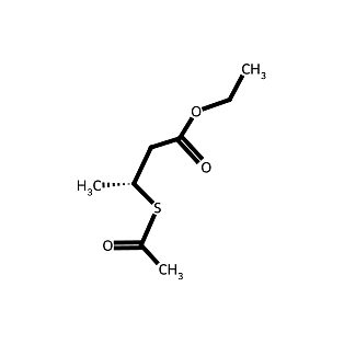 CCOC(=O)C[C@@H](C)SC(C)=O